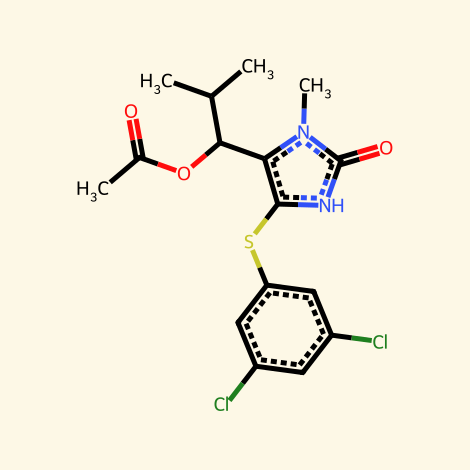 CC(=O)OC(c1c(Sc2cc(Cl)cc(Cl)c2)[nH]c(=O)n1C)C(C)C